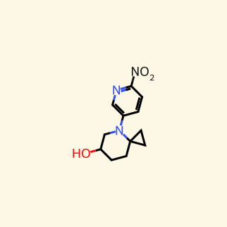 O=[N+]([O-])c1ccc(N2CC(O)CCC23CC3)cn1